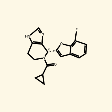 O=C(C1CC1)N1CCc2[nH]cnc2[C@@H]1c1cc2cccc(F)c2o1